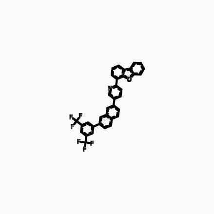 FC(F)(F)c1cc(-c2ccc3ccc(-c4ccc(-c5cccc6c5oc5ccccc56)nc4)cc3c2)cc(C(F)(F)F)c1